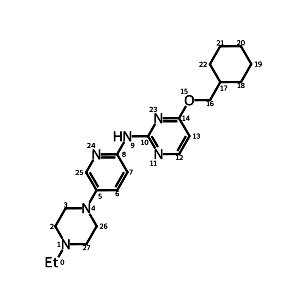 CCN1CCN(c2ccc(Nc3nccc(OCC4CCCCC4)n3)nc2)CC1